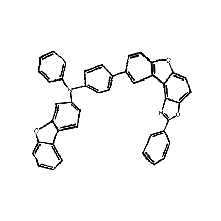 c1ccc(-c2nc3c(ccc4oc5ccc(-c6ccc(N(c7ccccc7)c7ccc8c(c7)oc7ccccc78)cc6)cc5c43)o2)cc1